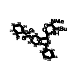 CNC(=O)C(NC(=O)c1nc(-c2ccccc2)n2c1CN(S(=O)(=O)c1ccccc1F)CC2)C(C)(C)C